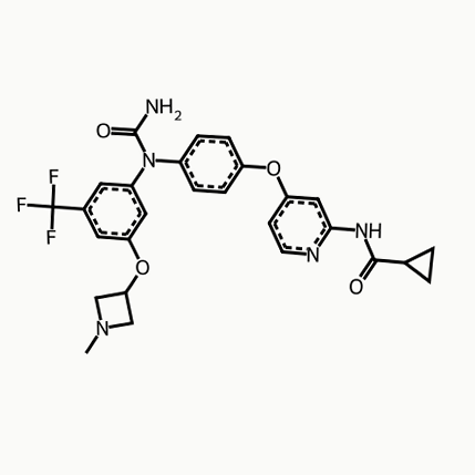 CN1CC(Oc2cc(N(C(N)=O)c3ccc(Oc4ccnc(NC(=O)C5CC5)c4)cc3)cc(C(F)(F)F)c2)C1